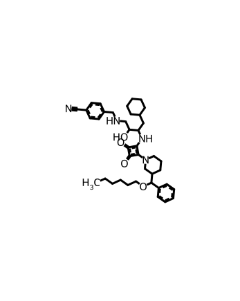 CCCCCCOC(c1ccccc1)C1CCCN(c2c(NC(CC3CCCCC3)C(O)CNCc3ccc(C#N)cc3)c(=O)c2=O)C1